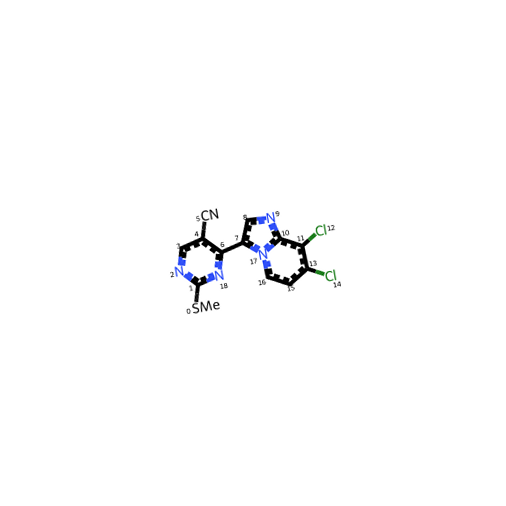 CSc1ncc(C#N)c(-c2cnc3c(Cl)c(Cl)ccn23)n1